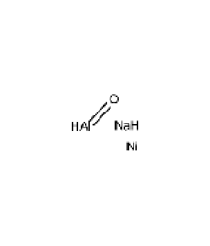 [NaH].[Ni].[O]=[AlH]